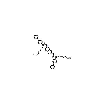 CC(=O)OCCCCCN1/C(=C/C2=CC3=C/C(=C/c4sc5cc(-c6ccccc6)ccc5[n+]4CCCCCOC(C)=O)CCC3CC2)Sc2cc(-c3ccccc3)ccc21